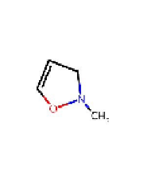 CN1CC=[C]O1